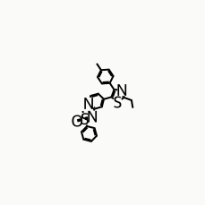 CCc1nc(-c2ccc(C)cc2)c(-c2ccnc(N=S(C)(=O)c3ccccc3)c2)s1